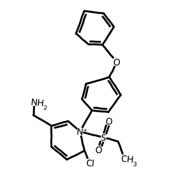 CCS(=O)(=O)[N+]1(c2ccc(Oc3ccccc3)cc2)C=C(CN)C=CC1Cl